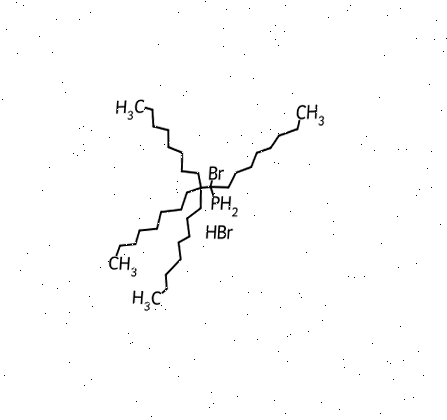 Br.CCCCCCCCC(P)(Br)C(CCCCCCCC)(CCCCCCCC)CCCCCCCC